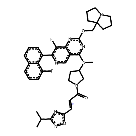 CC(C)c1noc(/C=C/C(=O)N2CCC(N(C)c3nc(OCC45CCCN4CCC5)nc4c(F)c(-c5cccc6cccc(F)c56)ncc34)C2)n1